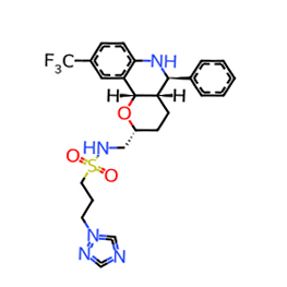 O=S(=O)(CCCn1cncn1)NC[C@H]1CC[C@@H]2[C@H](O1)c1cc(C(F)(F)F)ccc1N[C@H]2c1ccccc1